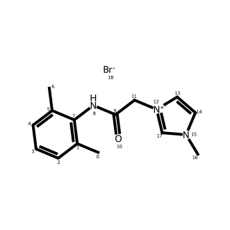 Cc1cccc(C)c1NC(=O)C[n+]1ccn(C)c1.[Br-]